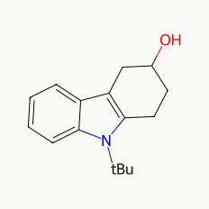 CC(C)(C)n1c2c(c3ccccc31)CC(O)CC2